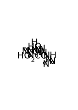 O=C(O)CN1CCN(CC(=O)NCCN(CCc2ccccn2)CCc2ccccn2)CCN2CCC(O)=C(C2)N(CC(=O)NCCN(CCc2ccccn2)CCc2ccccn2)CC1